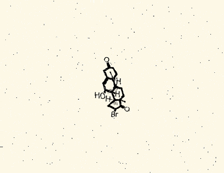 C[C@]12CCC(=O)CC1=CC(O)[C@@H]1[C@H]2CC[C@]2(C)C(=O)C(Br)C[C@@H]12